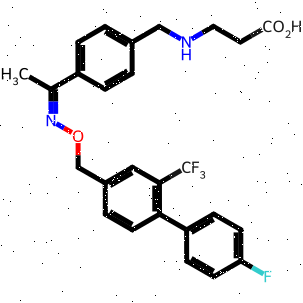 CC(=NOCc1ccc(-c2ccc(F)cc2)c(C(F)(F)F)c1)c1ccc(CNCCC(=O)O)cc1